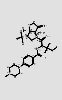 CCC(C)(C)C(NC(=O)c1ccc(N2CCN(C)CC2)cc1)C(=O)N1C[C@H](C(C)(C)C)[C@H]2OCC(=O)[C@H]21